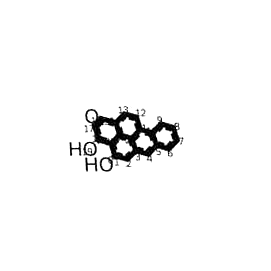 Oc1cc2cc3ccccc3c3ccc4c5oc5c(O)c1c4c23